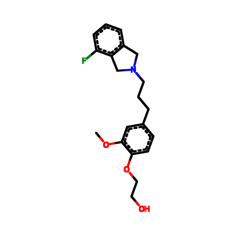 COc1cc(CCCN2Cc3cccc(F)c3C2)ccc1OCCO